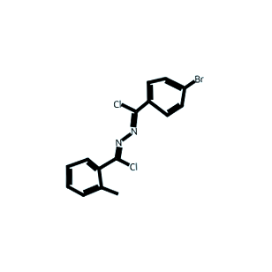 Cc1ccccc1/C(Cl)=N/N=C(\Cl)c1ccc(Br)cc1